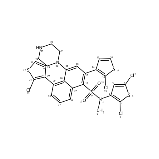 CN(c1cc(Cl)sc1Cl)S(=O)(=O)c1c(-c2ccsc2Cl)cc(N2CCNCC2)c2c(-c3ccsc3Cl)cccc12